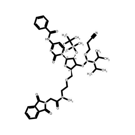 CC(C)N(C(C)C)P(OCCC#N)OC1[C@@H](O[Si](C)(C)C(C)(C)C)[C@H](n2ccc(NC(=O)c3ccccc3)nc2=O)O[C@@H]1COCCN(C)C(=O)CN1C(=O)c2ccccc2C1=O